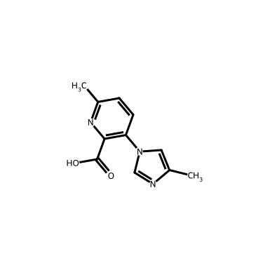 Cc1cn(-c2ccc(C)nc2C(=O)O)cn1